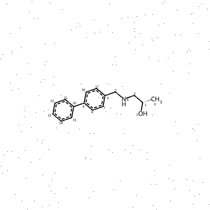 C[C@H](O)CNCc1ccc(-c2ccccc2)cc1